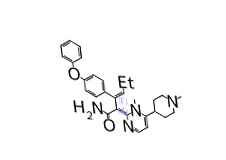 CC/C=C(/C(C(N)=O)=C1/N=CC=C(C2CCN(C)CC2)N1C)c1ccc(Oc2ccccc2)cc1